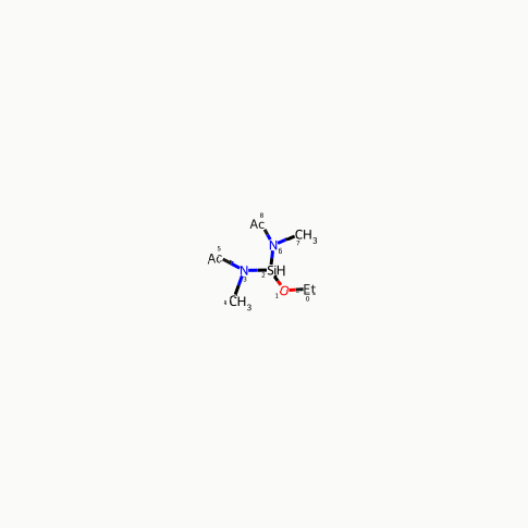 CCO[SiH](N(C)C(C)=O)N(C)C(C)=O